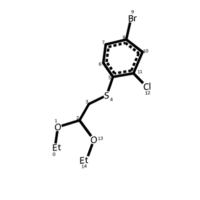 CCOC(CSc1ccc(Br)cc1Cl)OCC